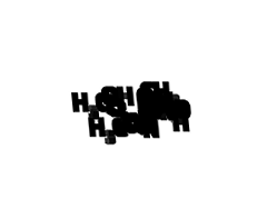 COc1nc(N2C[C@H]3C[C@@H]2CO3)cc(-n2ncc3cc(C)c(C4CCC(C)(O)CC4)cc32)n1